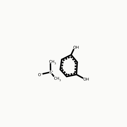 C[S+](C)[O-].Oc1cccc(O)c1